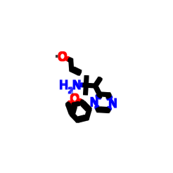 C=CC[O].CC(c1cnccn1)C(C)(C)N.c1cc2cc(c1)OC2